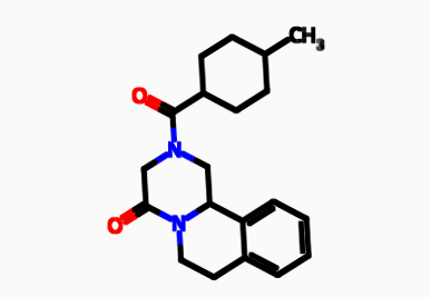 CC1CCC(C(=O)N2CC(=O)N3CCc4ccccc4C3C2)CC1